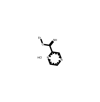 CCOC(=N)c1cnccn1.Cl